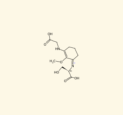 COC1=C(NCC(=O)O)CCC/C1=N/[C@H](CO)C(=O)O